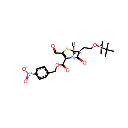 CC(C)(C)[Si](C)(C)OCC[C@H]1C(=O)N2C(C(=O)OCc3ccc([N+](=O)[O-])cc3)=C(C=O)S[C@H]12